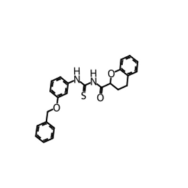 O=C(NC(=S)Nc1cccc(OCc2ccccc2)c1)C1CCc2ccccc2O1